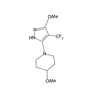 COc1n[nH]c(N2CCC(OC)CC2)c1C(F)(F)F